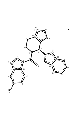 O=C(c1cnn2cc(Br)ccc12)N1CCc2[nH]cnc2[C@H]1c1cc2ccccc2o1